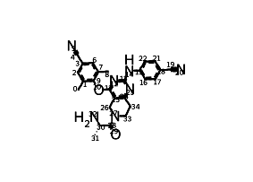 Cc1cc(C#N)cc(C)c1Oc1nc(Nc2ccc(C#N)cc2)nc2c1CN(C(=O)[C@H](C)N)CC2